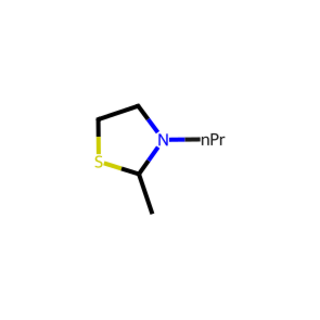 CCCN1CCSC1C